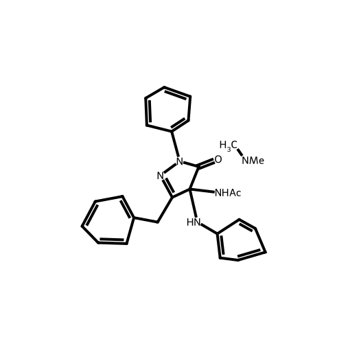 CC(=O)NC1(Nc2ccccc2)C(=O)N(c2ccccc2)N=C1Cc1ccccc1.CNC